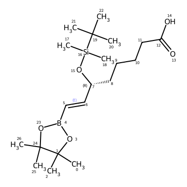 CC1(C)OB(/C=C/[C@@H](CCCCC(=O)O)O[Si](C)(C)C(C)(C)C)OC1(C)C